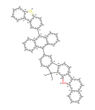 CC1(C)c2ccc(-c3c4ccccc4c(-c4ccc5sc6ccccc6c5c4)c4ccccc34)cc2-c2ccc3c(oc4c5ccccc5ccc34)c21